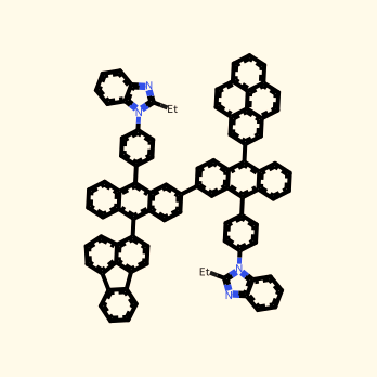 CCc1nc2ccccc2n1-c1ccc(-c2c3ccccc3c(-c3cc4ccc5cccc6ccc(c3)c4c56)c3ccc(-c4ccc5c(-c6ccc7c8c(cccc68)-c6ccccc6-7)c6ccccc6c(-c6ccc(-n7c(CC)nc8ccccc87)cc6)c5c4)cc23)cc1